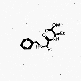 CCC(NCc1ccccc1)C(=O)NC(CC)C(=O)OC